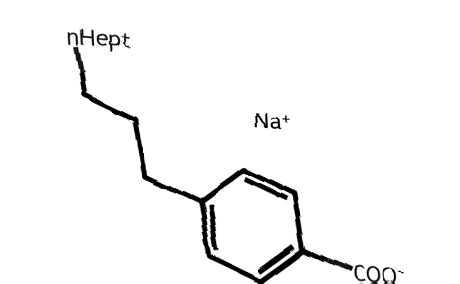 CCCCCCCCCCc1ccc(C(=O)[O-])cc1.[Na+]